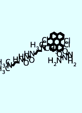 CN(C)CCCNC(=O)NC(=O)NCCCN(C)C.Clc1ccc2ccc(Cl)c3c4c(Cl)ccc5ccc(Cl)c(c1c23)c54.NC(=O)NC(N)=O